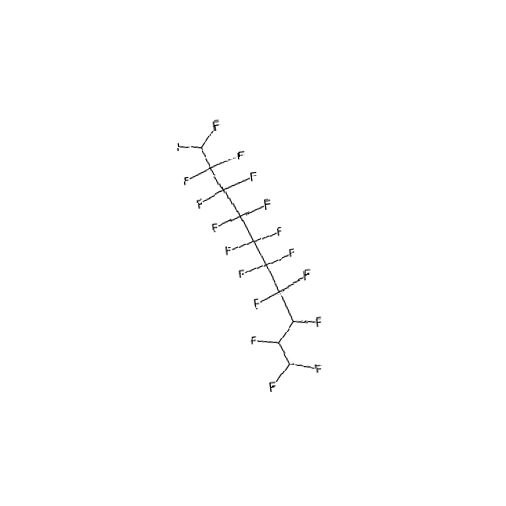 FC(F)C(F)C(F)C(F)(F)C(F)(F)C(F)(F)C(F)(F)C(F)(F)C(F)(F)C(F)I